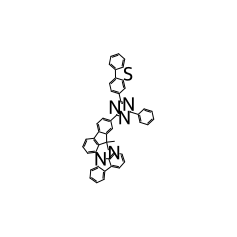 CC1(C)c2cc(-c3nc(-c4ccccc4)nc(-c4ccc5c(c4)sc4ccccc45)n3)ccc2-c2cccc(-n3c4ccccc4c4cccnc43)c21